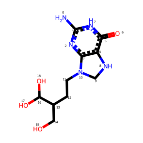 Nc1nc2c(c(=O)[nH]1)NCN2CCC(CO)C(O)O